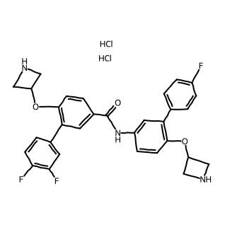 Cl.Cl.O=C(Nc1ccc(OC2CNC2)c(-c2ccc(F)cc2)c1)c1ccc(OC2CNC2)c(-c2ccc(F)c(F)c2)c1